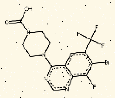 O=C(O)N1CCN(c2ncnc3c(F)c(Br)c(C(F)(F)F)cc23)CC1